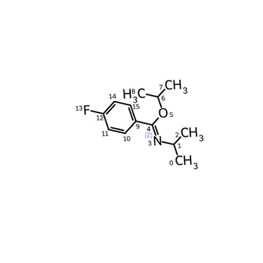 CC(C)/N=C(\OC(C)C)c1ccc(F)cc1